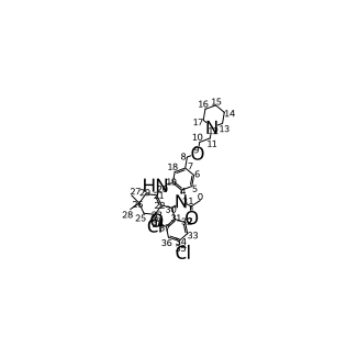 CC(=O)N1c2ccc(COCCN3CCCCC3)cc2NC2=C(C(=O)CC(C)(C)C2)C1c1ccc(Cl)cc1Cl